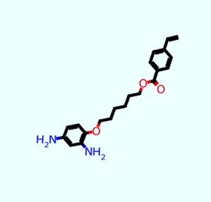 C=Cc1ccc(C(=O)OCCCCCCOc2ccc(N)cc2N)cc1